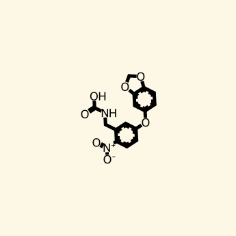 O=C(O)NCc1cc(Oc2ccc3c(c2)OCO3)ccc1[N+](=O)[O-]